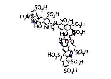 Cc1cc(/N=N\c2c(S(=O)(=O)O)cc3c(S(=O)(=O)O)c(N=Nc4cc(S(=O)(=O)O)c5cc(S(=O)(=O)O)c(/N=N\c6ccc(S(=O)(=O)O)cc6[N+](=O)[O-])c(O)c5c4N)ccc3c2O)c(OCCCS(=O)(=O)O)cc1/N=N\c1cc(C)c(/N=N\c2cc(S(=O)(=O)O)cc3cc(S(=O)(=O)O)cc(S(=O)(=O)O)c23)cc1OCCCS(=O)(=O)O